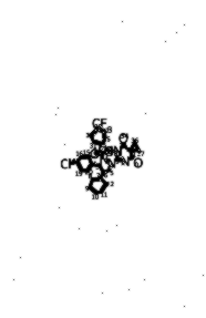 O=C1N=C(N2CC(c3ccccc3)C(c3ccc(Cl)cc3)N2S(=O)(=O)c2ccc(C(F)(F)F)cc2)NC(=O)C12CC2